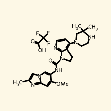 COc1cc2nc(C)cn2cc1NC(=O)N1CCc2c(N3CCNC(C)(C)C3)ccnc21.O=C(O)C(F)(F)F